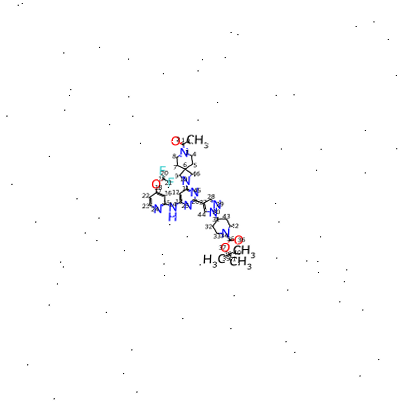 CC(=O)N1CCC2(CC1)CN(c1cc(Nc3cc(OC(F)F)ccn3)nc(-c3cnn(C4CCN(C(=O)OC(C)(C)C)CC4)c3)n1)C2